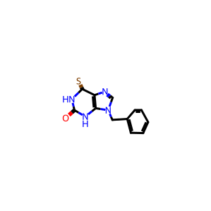 O=c1[nH]c(=S)c2ncn(Cc3ccccc3)c2[nH]1